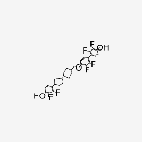 Oc1ccc(-c2ccc(OCC3CCC(C4CCC(c5ccc(O)c(F)c5F)CC4)CC3)c(F)c2F)c(F)c1F